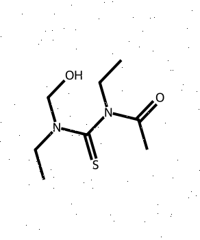 CCN(CO)C(=S)N(CC)C(C)=O